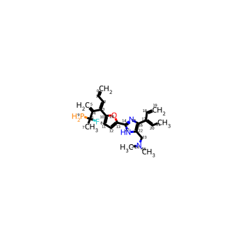 C=C/C=C(\C(=C)C(C)(F)P)c1ccc(-c2nc(/C(C=C)=C/C)c(CN(C)C)[nH]2)o1